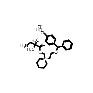 CC(C)(CN)C(=O)OC[N+]1(CCOC(c2ccccc2)c2ccc(Cl)cc2)CCCCC1.Cl.[Cl-]